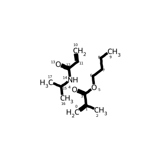 C=C(C)C(=O)OCCCC.C=CC(=O)NC(C)C